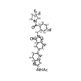 CC(=O)Nc1cn2nc(-c3cnc4on(Cc5cc(F)ccc5C(=O)N5CCC(F)(F)C5)c(=O)c4c3)ccc2n1